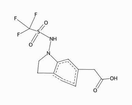 O=C(O)Cc1ccc2c(c1)N(NS(=O)(=O)C(F)(F)F)CC2